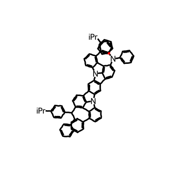 CC(C)c1ccc(C(Cc2ccccc2)c2ccc3c4cc5c(cc4n4c6cccc(-c7ccccc7)c6c2c34)c2ccc(N(c3ccccc3)c3ccc(C(C)C)cc3)c3c4c(-c6ccccc6)cccc4n5c23)cc1